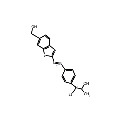 CCN(c1ccc(/N=N/c2nc3ccc(CO)cc3s2)cc1)C(C)O